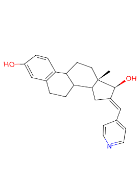 C[C@]12CCC3c4ccc(O)cc4CCC3C1C/C(=C\c1ccncc1)[C@@H]2O